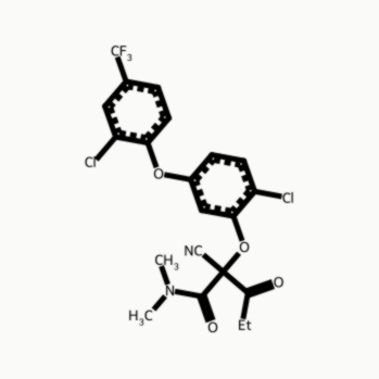 CCC(=O)C(C#N)(Oc1cc(Oc2ccc(C(F)(F)F)cc2Cl)ccc1Cl)C(=O)N(C)C